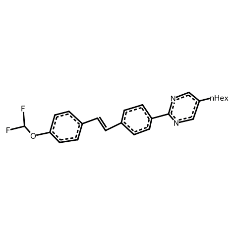 CCCCCCc1cnc(-c2ccc(C=Cc3ccc(OC(F)F)cc3)cc2)nc1